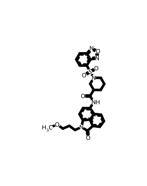 COCCCN1C(=O)c2cccc3c(NC(=O)C4CCCN(S(=O)(=O)c5cccc6nonc56)C4)ccc1c23